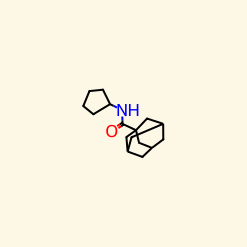 O=C(NC1CCCC1)C12CC3CC(CC(C3)C1)C2